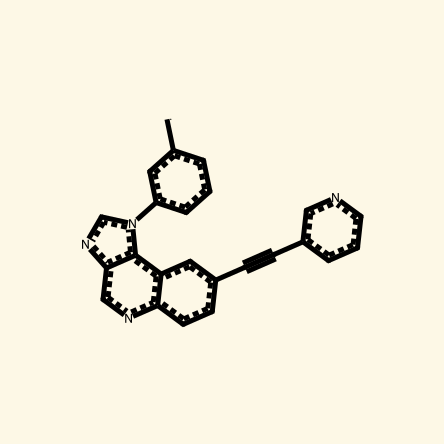 [CH2]c1cccc(-n2cnc3cnc4ccc(C#Cc5cccnc5)cc4c32)c1